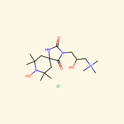 CC1(C)CC2(CC(C)(C)N1O)NC(=O)N(CC(O)C[N+](C)(C)C)C2=O.[Cl-]